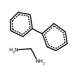 NCN.c1ccc(-c2ccccc2)cc1